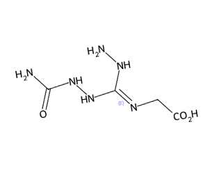 NN/C(=N\CC(=O)O)NNC(N)=O